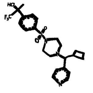 CC(O)(c1ccc(S(=O)(=O)N2CCN(C(c3ccncc3)C3CCC3)CC2)cc1)C(F)(F)F